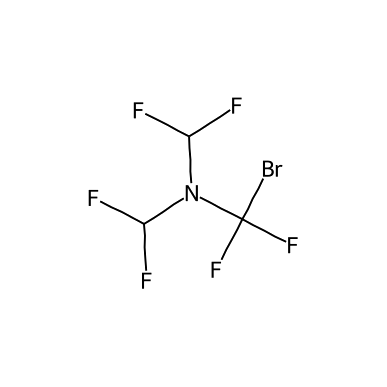 FC(F)N(C(F)F)C(F)(F)Br